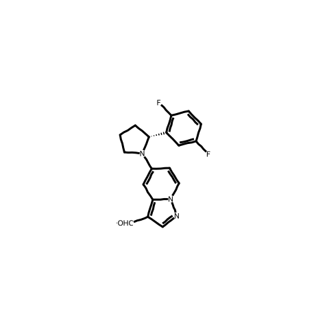 O=[C]c1cnn2ccc(N3CCC[C@@H]3c3cc(F)ccc3F)cc12